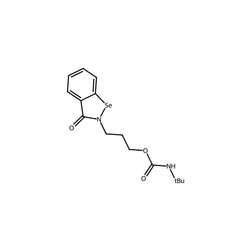 CC(C)(C)NC(=O)OCCCn1[se]c2ccccc2c1=O